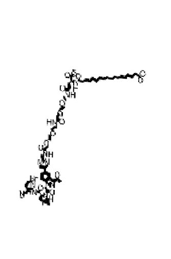 COC(=O)CCCCCCCCCCCCCCCCC(=O)N[C@@H](CCC(=O)NCCOCCOCC(=O)NCCOCCOCC(=O)NCc1ncc(-c2ccc3c(c2)c(C(C)=O)nn3CC(=O)N2[C@H](C(=O)Nc3nc(Br)ccc3CN(C)C)C[C@@]3(C)C[C@@H]23)cn1)C(=O)OC